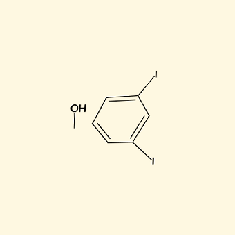 CO.Ic1cccc(I)c1